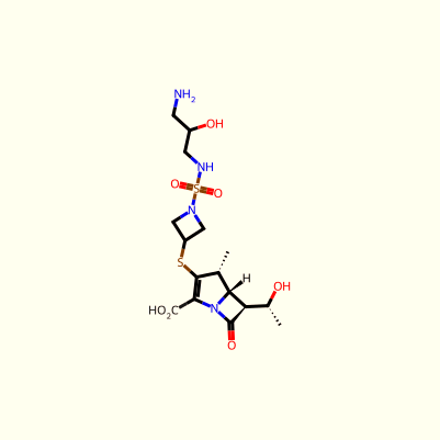 C[C@@H](O)[C@H]1C(=O)N2C(C(=O)O)=C(SC3CN(S(=O)(=O)NCC(O)CN)C3)[C@H](C)[C@H]12